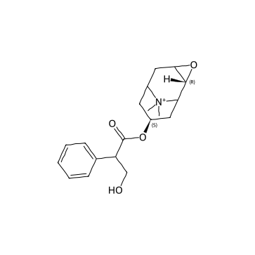 C[N+]1(C)C2CC3O[C@@H]3C1C[C@@H](OC(=O)C(CO)c1ccccc1)C2